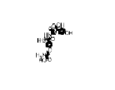 NC(CCOc1ccc(/C(=N\O)C(=O)NC2CN(C(C(=O)O)c3ccc(O)cc3)C2=O)cc1)C(=O)O